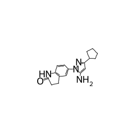 Nc1cc(C2CCCC2)nn1-c1ccc2c(c1)CCC(=O)N2